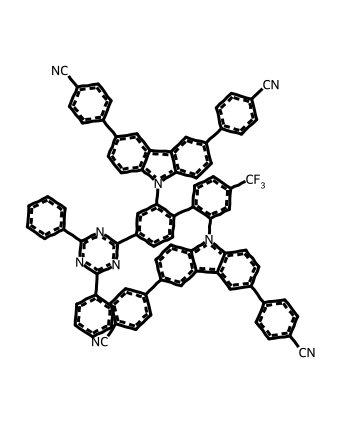 N#Cc1ccc(-c2ccc3c(c2)c2cc(-c4ccc(C#N)cc4)ccc2n3-c2cc(-c3nc(-c4ccccc4)nc(-c4ccccc4)n3)ccc2-c2ccc(C(F)(F)F)cc2-n2c3ccc(-c4ccc(C#N)cc4)cc3c3cc(-c4ccc(C#N)cc4)ccc32)cc1